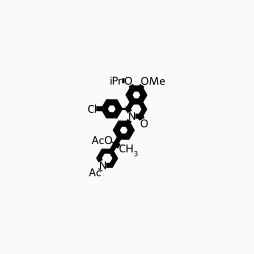 COc1cc2c(cc1OC(C)C)[C@H](c1ccc(Cl)cc1)N(c1ccc([C@](C)(OC(C)=O)C3CCN(C(C)=O)CC3)cc1)C(=O)C2